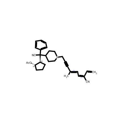 C=C/C(C#N)=C\C=C(/C)C#CCN1CCC(C(C#N)(c2ccccc2)[C@H]2CCC[C@@H]2OC(C)=O)CC1